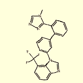 Cn1cnnc1-c1ccccc1-c1cccc(-n2cnc3cccc(C(F)(F)F)c32)c1